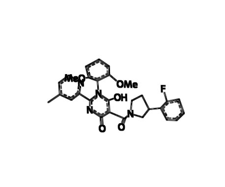 COc1cccc(OC)c1-n1c(-c2cc(C)ccn2)nc(=O)c(C(=O)N2CCC(c3ccccc3F)C2)c1O